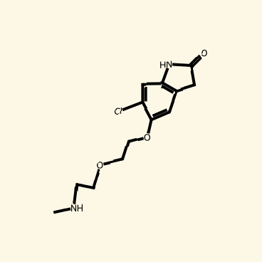 CNCCOCCOc1cc2c(cc1Cl)NC(=O)C2